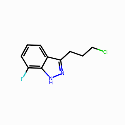 Fc1cccc2c(CCCCl)n[nH]c12